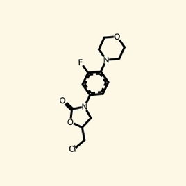 O=C1OC(CCl)CN1c1ccc(N2CCOCC2)c(F)c1